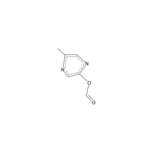 Cc1cnc(OC=O)cn1